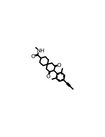 CC#Cc1cc(C)c(C2C(=O)CC3(CCC(C(=O)NC)CC3)CC2=O)c(C)c1